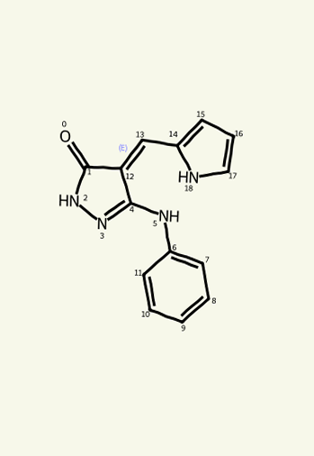 O=C1NN=C(Nc2ccccc2)/C1=C\c1ccc[nH]1